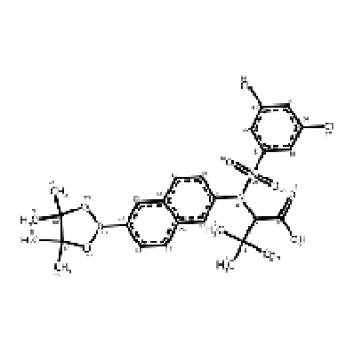 CC(C)(C)C(C(=O)O)N(c1ccc2cc(B3OC(C)(C)C(C)(C)O3)ccc2c1)S(=O)(=O)c1cc(Cl)cc(Cl)c1